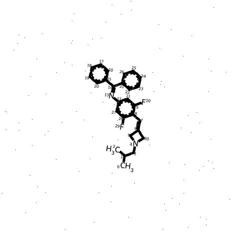 C[C](C)CN1CC(=Cc2c(F)cc(N=C(c3ccccc3)c3ccccc3)cc2F)C1